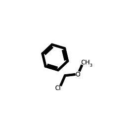 COCCl.c1ccccc1